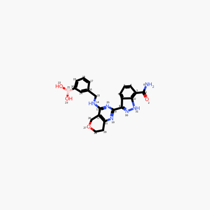 NC(=O)c1cccc2c(-c3nc4c(c(NCc5cccc(B(O)O)c5)n3)COCC4)n[nH]c12